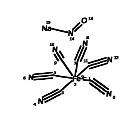 N#[C][Fe-3]([C]#N)([C]#N)([C]#N)([C]#N)[C]#N.O=[N][Na]